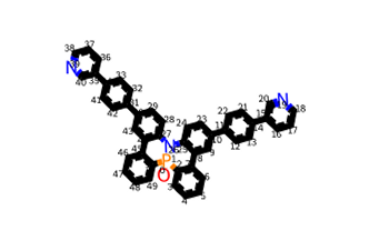 O=P12c3ccccc3-c3cc(-c4ccc(-c5cccnc5)cc4)ccc3N1c1ccc(-c3ccc(-c4cccnc4)cc3)cc1-c1ccccc12